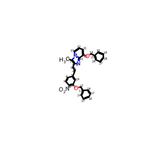 Cc1c(/C=C/c2ccc([N+](=O)[O-])c(OCc3ccccc3)c2)nc2c(OCc3ccccc3)cccn12